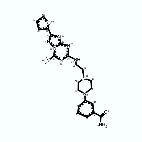 NC(=O)c1cccc(N2CCN(CCNc3nc(N)n4nc(-c5ccco5)nc4n3)CC2)c1